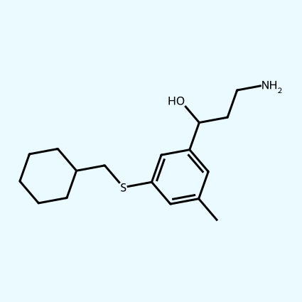 Cc1cc(SCC2CCCCC2)cc(C(O)CCN)c1